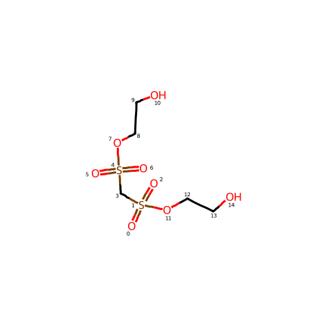 O=S(=O)(CS(=O)(=O)OCCO)OCCO